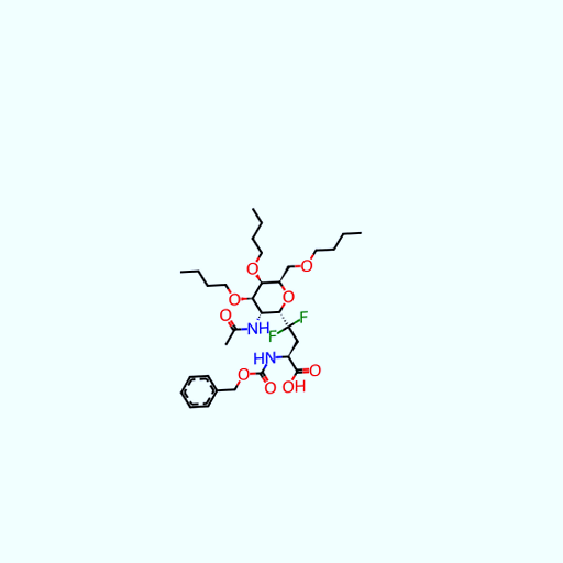 CCCCOC[C@H]1O[C@H](C(F)(F)C[C@H](NC(=O)OCc2ccccc2)C(=O)O)[C@H](NC(C)=O)[C@@H](OCCCC)[C@H]1OCCCC